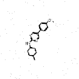 CC1CCC(Nc2ncc(-c3ccc(C(F)(F)F)cc3)cn2)CC1